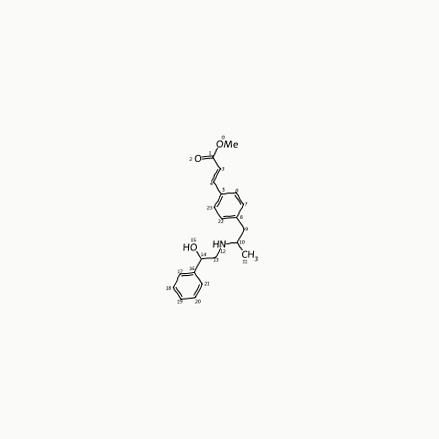 COC(=O)C=Cc1ccc(CC(C)NCC(O)c2ccccc2)cc1